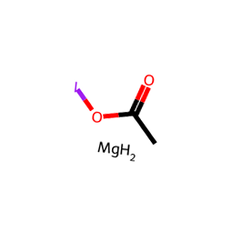 CC(=O)OI.[MgH2]